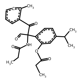 CCC(=O)NC(C=O)(C(=O)c1ccccc1C)c1ccc(C(C)C)cc1OC(=O)CC